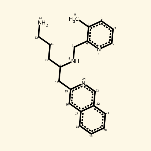 Cc1cccnc1CNC(CCCN)Cc1cc2ccccc2cn1